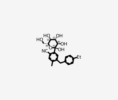 CCc1ccc(Cc2cc([C@]3(O)O[C@H](CO)[C@@H](O)[C@H](O)[C@H]3O)c(C#N)cc2C)cc1